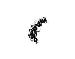 CC(C)n1cc(C(=O)Nc2ccc(Oc3ccnc(Nc4ccc(S(C)(=O)=O)cn4)c3)c(F)c2)c(=O)n(-c2ccc(F)cc2)c1=O